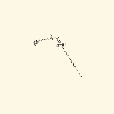 C=C(COC(=O)CCCCCC[n+]1ccsc1)COC(=O)NCCCCCCCCCCCCCCCCCC